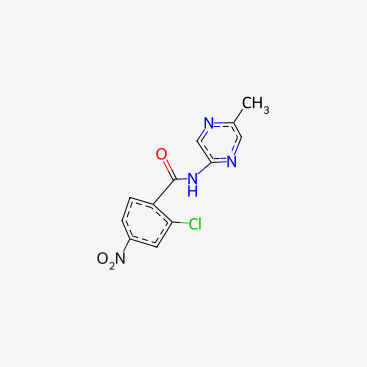 Cc1cnc(NC(=O)c2ccc([N+](=O)[O-])cc2Cl)cn1